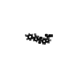 Cc1ccc(N2CCN(S(=O)(=O)c3ccc4c(c3)C(C(=O)O)CC4)C[C@@H]2C)cc1